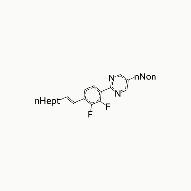 CCCCCCC/C=C/c1ccc(-c2ncc(CCCCCCCCC)cn2)c(F)c1F